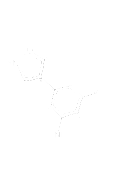 Nc1cc(-c2cnoc2)cc(C(F)(F)F)c1